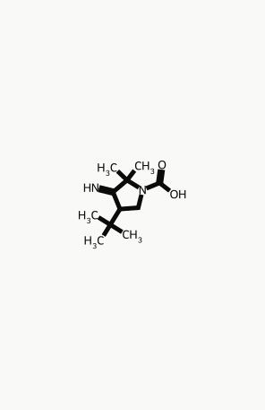 CC(C)(C)C1CN(C(=O)O)C(C)(C)C1=N